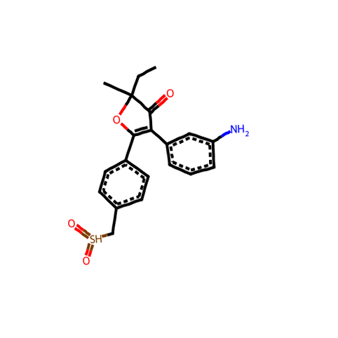 CCC1(C)OC(c2ccc(C[SH](=O)=O)cc2)=C(c2cccc(N)c2)C1=O